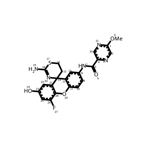 COc1cnc(C(=O)Nc2ccc3c(c2)C2(CCSC(N)=N2)c2cc(O)cc(F)c2O3)cn1